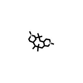 CC(C1CCN(C)CC1)C(C)(C)CC1CN(C)CCC1CC(C)(C)C